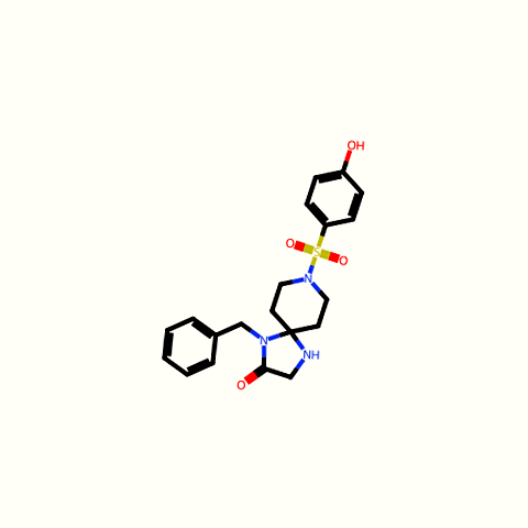 O=C1CNC2(CCN(S(=O)(=O)c3ccc(O)cc3)CC2)N1Cc1ccccc1